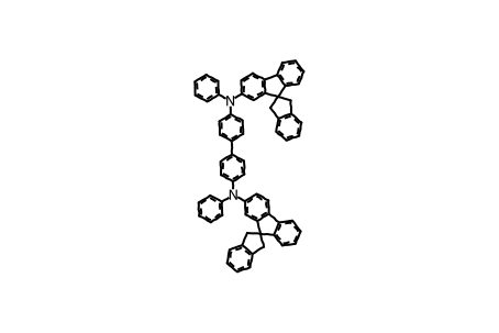 c1ccc(N(c2ccc(-c3ccc(N(c4ccccc4)c4ccc5c(c4)C4(Cc6ccccc6C4)c4ccccc4-5)cc3)cc2)c2ccc3c(c2)C2(Cc4ccccc4C2)c2ccccc2-3)cc1